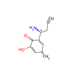 C#CC[C@H](N)C1=CC(=C)C=C(O)C1=O